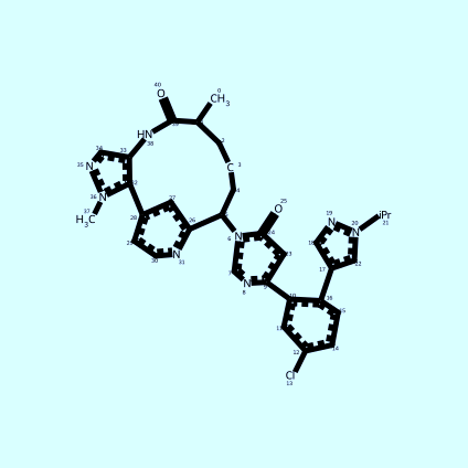 CC1CCCC(n2cnc(-c3cc(Cl)ccc3-c3cnn(C(C)C)c3)cc2=O)c2cc(ccn2)-c2c(cnn2C)NC1=O